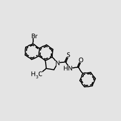 CC1CN(C(=S)NC(=O)c2ccccc2)c2ccc3c(Br)cccc3c21